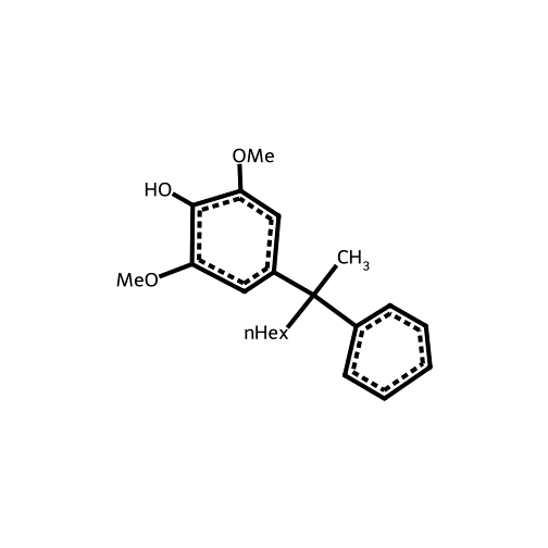 CCCCCCC(C)(c1ccccc1)c1cc(OC)c(O)c(OC)c1